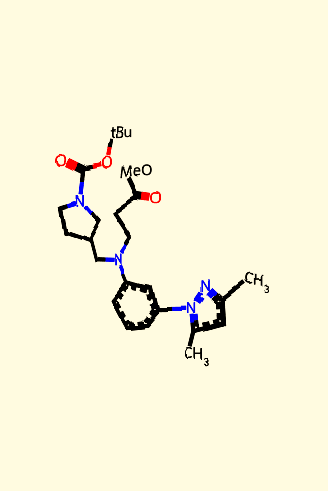 COC(=O)CCN(CC1CCN(C(=O)OC(C)(C)C)C1)c1cccc(-n2nc(C)cc2C)c1